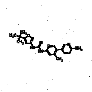 Cc1cc(NC(=O)Nc2cc(C(C)(C)C)on2)ncc1-c1ccc(N)nc1